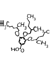 CCCCC(C)COc1cc(C(=O)O)cc(OCC(C)CCCC)c1OCC(C)CCCC